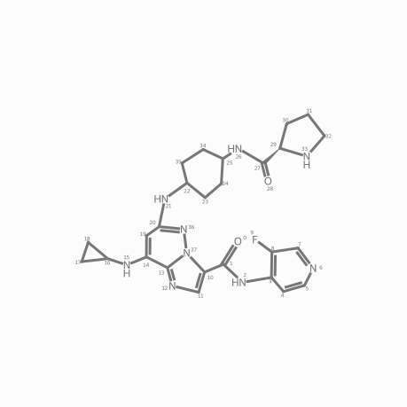 O=C(Nc1ccncc1F)c1cnc2c(NC3CC3)cc(NC3CCC(NC(=O)[C@H]4CCCN4)CC3)nn12